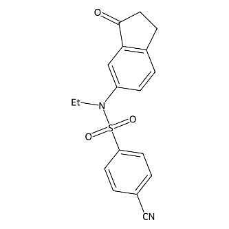 CCN(c1ccc2c(c1)C(=O)CC2)S(=O)(=O)c1ccc(C#N)cc1